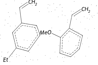 C=Cc1cccc(CC)c1.C=Cc1ccccc1OC